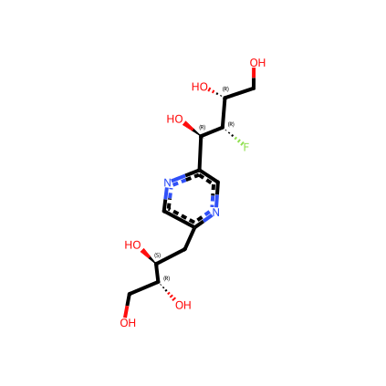 OC[C@@H](O)[C@H](F)[C@H](O)c1cnc(C[C@H](O)[C@H](O)CO)cn1